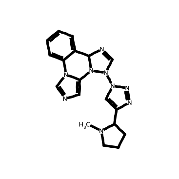 CN1CCCC1c1cn(N2C=NC3c4ccccc4-n4cncc4N32)nn1